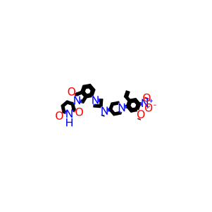 C=Cc1cc([N+](=O)[O-])c(OC)cc1N1CCC(N(C)C2CN(c3cccc4c3CN(C3CCC(=O)NC3=O)C4=O)C2)CC1